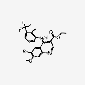 CCOC(=O)c1cnc2cc(OC)c(Br)cc2c1Nc1cccc(C(F)(F)F)c1C